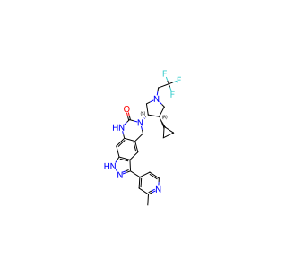 Cc1cc(-c2n[nH]c3cc4c(cc23)CN([C@@H]2CN(CC(F)(F)F)C[C@H]2C2CC2)C(=O)N4)ccn1